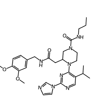 CCCNC(=O)N1CCN(c2nc(-n3ccnc3)ncc2C(C)C)C(CC(=O)NCc2ccc(OC)c(OC)c2)C1